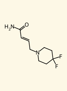 NC(=O)C=CCN1CCC(F)(F)CC1